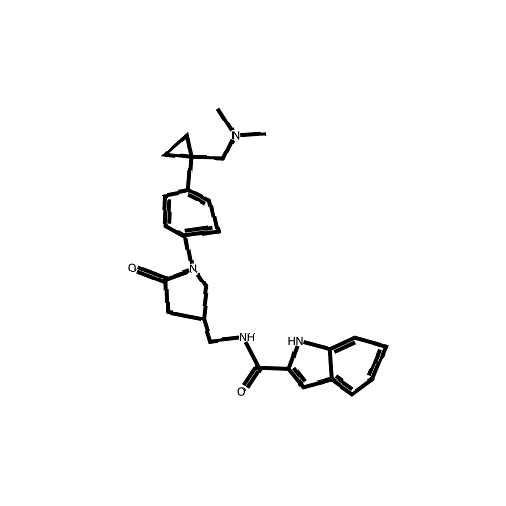 CN(C)CC1(c2ccc(N3CC(CNC(=O)c4cc5ccccc5[nH]4)CC3=O)cc2)CC1